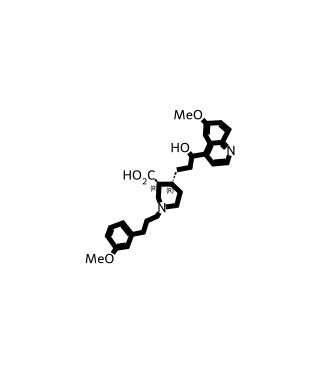 COc1cccc(CCCN2CC[C@@H](CCC(O)c3ccnc4ccc(OC)cc34)[C@@H](C(=O)O)C2)c1